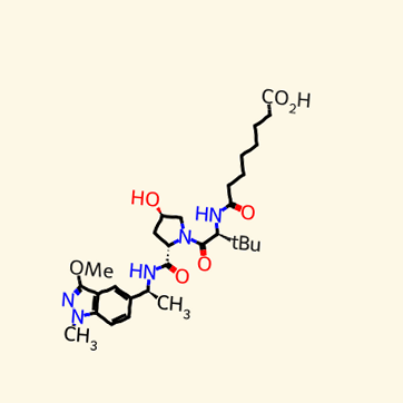 COc1nn(C)c2ccc([C@H](C)NC(=O)[C@@H]3C[C@@H](O)CN3C(=O)[C@@H](NC(=O)CCCCCCC(=O)O)C(C)(C)C)cc12